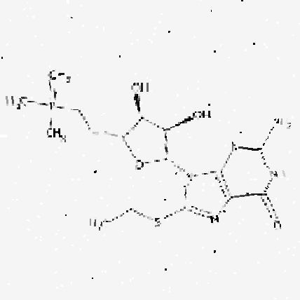 C=P(C)(C)CC[C@H]1O[C@@H](n2c(SCC)nc3c(=O)[nH]c(N)nc32)[C@H](O)[C@@H]1O